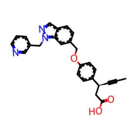 CC#C[C@@H](CC(=O)O)c1ccc(OCc2ccc3cnn(Cc4cccnc4)c3c2)cc1